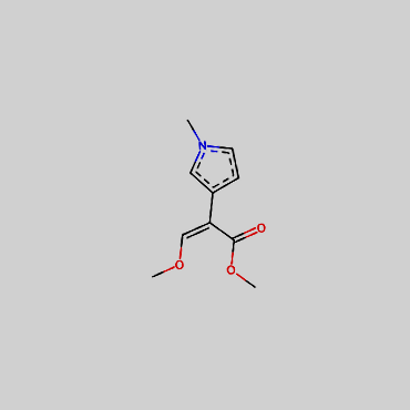 COC=C(C(=O)OC)c1ccn(C)c1